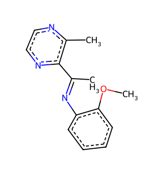 COc1ccccc1N=C(C)c1nccnc1C